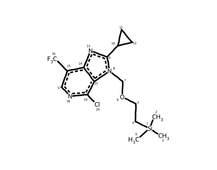 C[Si](C)(C)CCOCn1c(C2CC2)nc2c(C(F)(F)F)cnc(Cl)c21